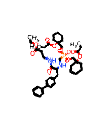 CCOC(=O)CCNC(=O)C(Cc1ccc(-c2ccccc2)cc1)NCP(=O)(OCC1(OC(=O)CC)CCCCC1)OCC1(OC(=O)CC)CCCCC1